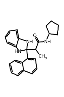 CC(C(=O)NC1CCCC1)C1(c2cccc3ccccc23)Nc2ccccc2N1